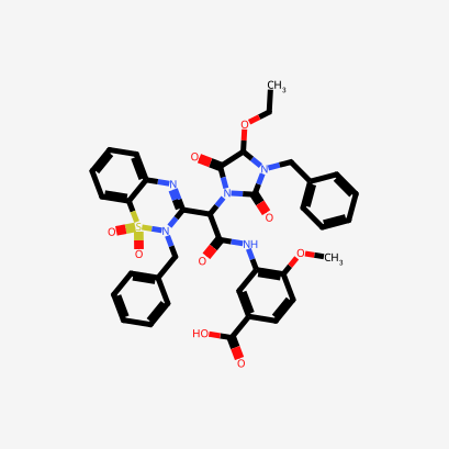 CCOC1C(=O)N(C(C(=O)Nc2cc(C(=O)O)ccc2OC)C2=Nc3ccccc3S(=O)(=O)N2Cc2ccccc2)C(=O)N1Cc1ccccc1